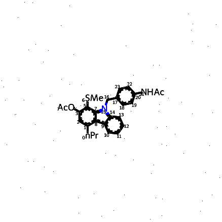 CCCc1cc(OC(C)=O)c(SC)c2c1c1ccccc1n2Cc1ccc(NC(C)=O)cc1